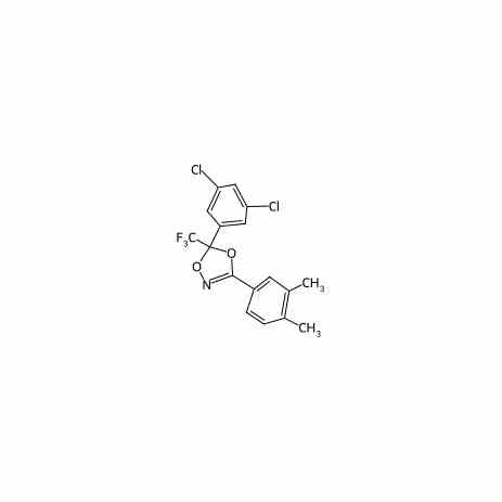 Cc1ccc(C2=NOC(c3cc(Cl)cc(Cl)c3)(C(F)(F)F)O2)cc1C